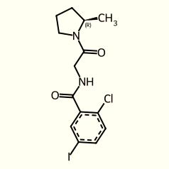 C[C@@H]1CCCN1C(=O)CNC(=O)c1cc(I)ccc1Cl